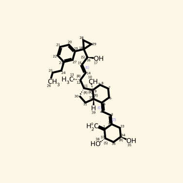 C=C1/C(=C\C=C2/CCC[C@]3(C)[C@@H]([C@H](C)/C=C/[C@H](O)C4(c5cccc(CCC)c5)CC4)CC[C@@H]23)C[C@@H](O)C[C@@H]1O